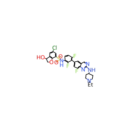 CCN1CCC(Nc2ncc3cc(-c4c(F)ccc(NS(=O)(=O)c5cc(Cl)cc6c5OCC6O)c4F)cc(F)c3n2)CC1